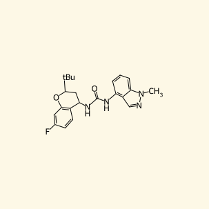 Cn1ncc2c(NC(=O)NC3CC(C(C)(C)C)Oc4cc(F)ccc43)cccc21